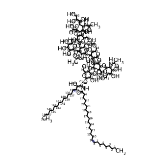 CCCCCCCC/C=C\CCCCCCCCCCCCCCCC(=O)N[C@@H](CO[C@@H]1OC(CO)[C@@H](O[C@@H]2OC(CO)[C@H](O[C@@H]3OC(CO)[C@H](O)[C@H](O)C3NC(C)=O)[C@H](O[C@H]3OC(CO)[C@H](O)[C@H](O[C@@H]4OC(CO)[C@@H](O[C@@H]5OC(CO)[C@H](O)[C@H](O[C@]6(C(=O)O)CC(O)[C@@H](NC(C)=O)C([C@H](O)[C@H](O)CO)O6)C5O)[C@H](O[C@H]5OC(C)[C@@H](O)C(O)[C@@H]5O)C4NC(C)=O)C3O)C2O)[C@H](O)C1O)[C@H](O)/C=C/CCCCCCCCCCCCC